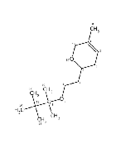 CC1=CCC(CCO[Si](C)(C)C(C)(C)C)OC1